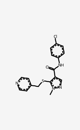 Cn1ncc(C(=O)Nc2ccc(Cl)cc2)c1SCc1ccncc1